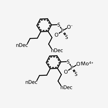 CCCCCCCCCCCCc1cccc(SP([O-])([O-])=S)c1CCCCCCCCCCCC.CCCCCCCCCCCCc1cccc(SP([O-])([O-])=S)c1CCCCCCCCCCCC.[Mo+4]